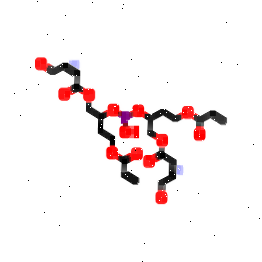 C=CC(=O)OCCC(COC(=O)/C=C\C=O)OP(O)OC(CCOC(=O)C=C)COC(=O)/C=C\C=O